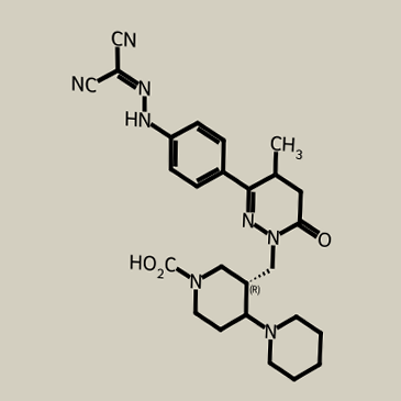 CC1CC(=O)N(C[C@H]2CN(C(=O)O)CCC2N2CCCCC2)N=C1c1ccc(NN=C(C#N)C#N)cc1